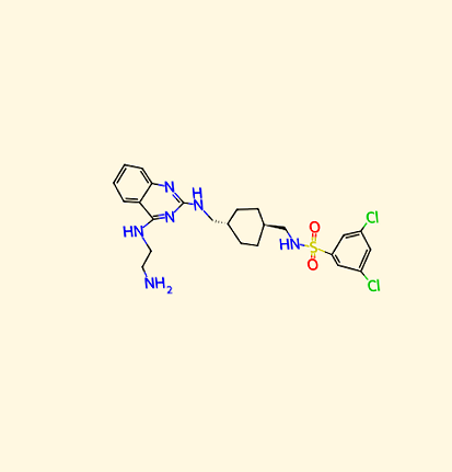 NCCNc1nc(NC[C@H]2CC[C@H](CNS(=O)(=O)c3cc(Cl)cc(Cl)c3)CC2)nc2ccccc12